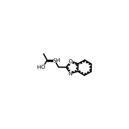 CC(O)=[SH]Cc1nc2ccccc2o1